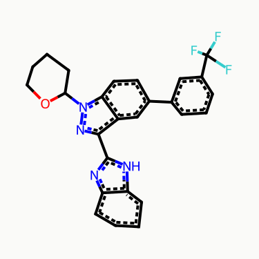 FC(F)(F)c1cccc(-c2ccc3c(c2)c(-c2nc4ccccc4[nH]2)nn3C2CCCCO2)c1